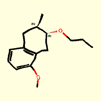 CCCO[C@@H]1Cc2c(cccc2OC)C[C@H]1C